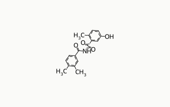 Cc1ccc(C(=O)NS(=O)(=O)c2cc(O)ccc2C)cc1C